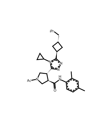 CC(=O)N1C[C@H](C(=O)Nc2ccc(C)cc2C)[C@@H](c2nnc([C@H]3C[C@H](CC(C)C)C3)n2C2CC2)C1